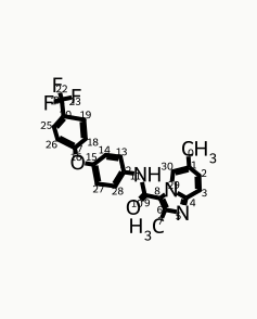 Cc1ccc2nc(C)c(C(=O)Nc3ccc(Oc4ccc(C(F)(F)F)cc4)cc3)n2c1